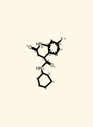 O=C1CC(C(=O)NC2CCCCC2)c2ccc(F)cc2N1